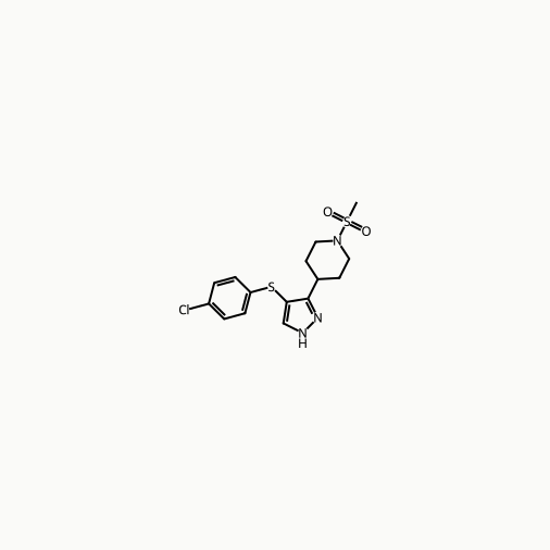 CS(=O)(=O)N1CCC(c2n[nH]cc2Sc2ccc(Cl)cc2)CC1